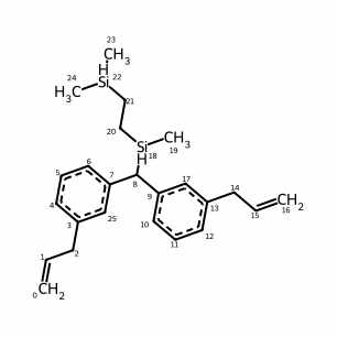 C=CCc1cccc(C(c2cccc(CC=C)c2)[SiH](C)CC[SiH](C)C)c1